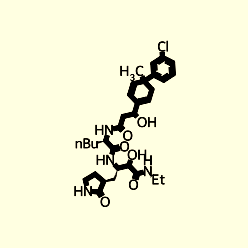 CCCC[C@H](NC(=O)CC(O)C1=CCC(C)(c2cccc(Cl)c2)C=C1)C(=O)N[C@@H](C[C@@H]1CCNC1=O)C(O)C(=O)NCC